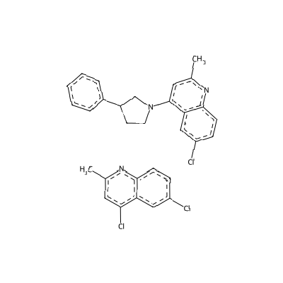 Cc1cc(Cl)c2cc(Cl)ccc2n1.Cc1cc(N2CCC(c3ccccc3)C2)c2cc(Cl)ccc2n1